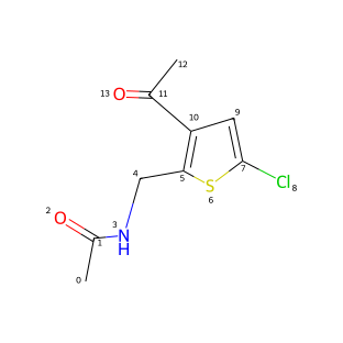 CC(=O)NCc1sc(Cl)cc1C(C)=O